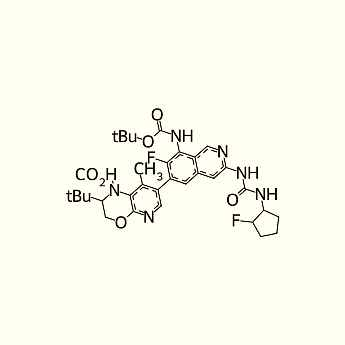 Cc1c(-c2cc3cc(NC(=O)NC4CCCC4F)ncc3c(NC(=O)OC(C)(C)C)c2F)cnc2c1N(C(=O)O)C(C(C)(C)C)CO2